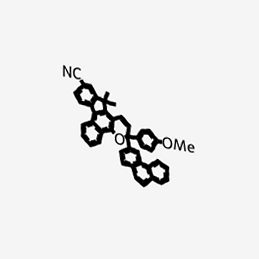 COc1ccc(C2(c3ccc4ccc5ccccc5c4c3)C=Cc3c4c(c5ccccc5c3O2)-c2ccc(C#N)cc2C4(C)C)cc1